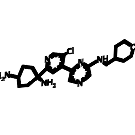 NC1CCC(N)(c2cc(-c3cncc(NCC4CCOCC4)n3)c(Cl)cn2)CC1